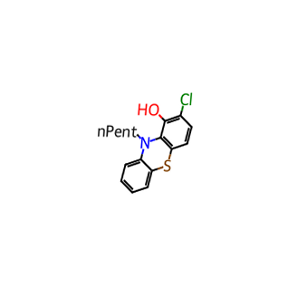 CCCCCN1c2ccccc2Sc2ccc(Cl)c(O)c21